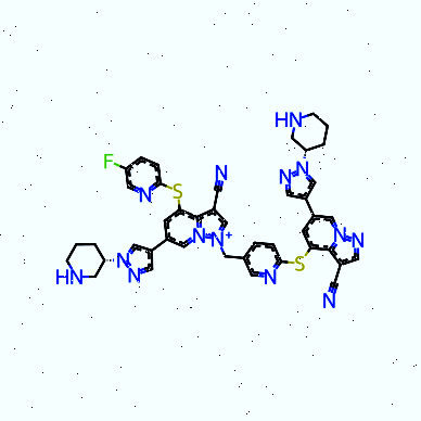 N#Cc1cnn2cc(-c3cnn([C@H]4CCCNC4)c3)cc(Sc3ccc(C[n+]4cc(C#N)c5c(Sc6ccc(F)cn6)cc(-c6cnn([C@H]7CCCNC7)c6)cn54)cn3)c12